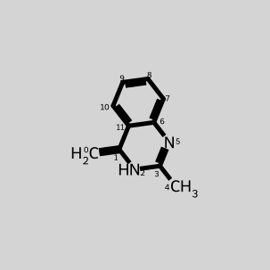 C=C1NC(C)=Nc2ccccc21